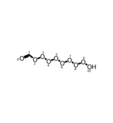 O=COOOOOOOOO